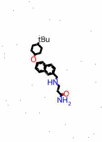 CC(C)(C)C1CCC(Oc2ccc3cc(CNCCC(N)=O)ccc3c2)CC1